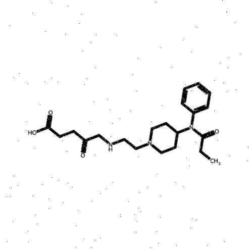 CCC(=O)N(c1ccccc1)C1CCN(CCNCC(=O)CCC(=O)O)CC1